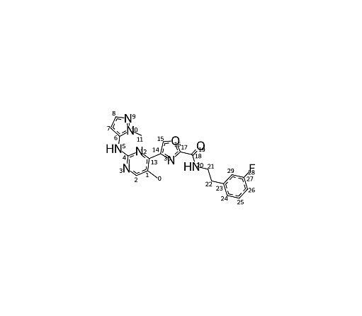 Cc1cnc(Nc2ccnn2C)nc1-c1coc(C(=O)NCCc2cccc(F)c2)n1